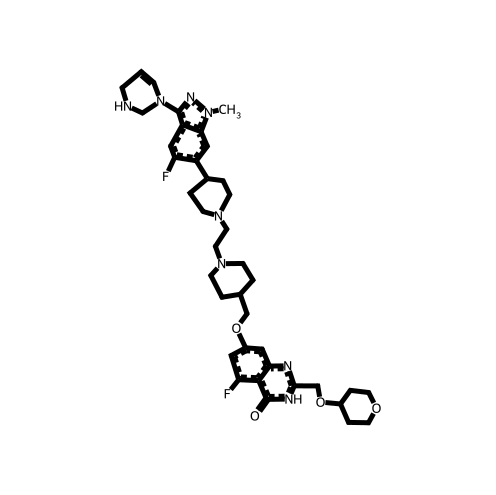 Cn1nc(N2C=CCNC2)c2cc(F)c(C3CCN(CCN4CCC(COc5cc(F)c6c(=O)[nH]c(COC7CCOCC7)nc6c5)CC4)CC3)cc21